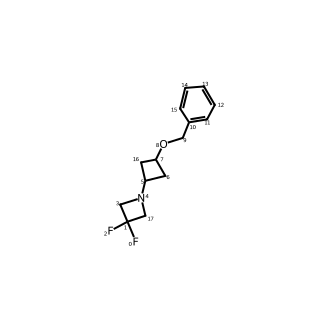 FC1(F)CN(C2CC(OCc3ccccc3)C2)C1